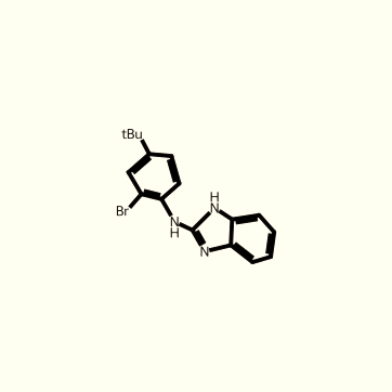 CC(C)(C)c1ccc(Nc2nc3ccccc3[nH]2)c(Br)c1